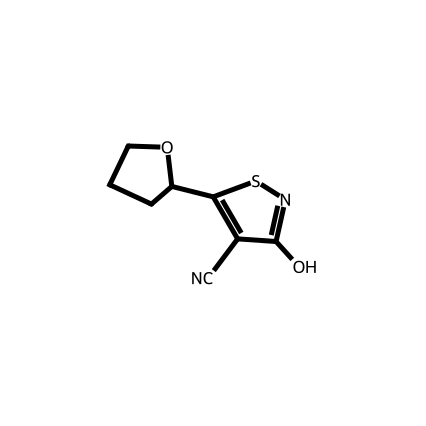 N#Cc1c(O)nsc1C1CCCO1